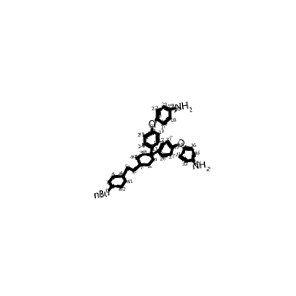 CCCCC1CCC(CCC2CCC(c3ccc(Oc4ccc(N)cc4)cc3)(c3ccc(Oc4ccc(N)cc4)cc3)CC2)CC1